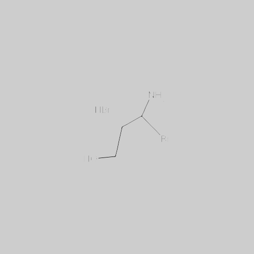 Br.NC(Br)CCO